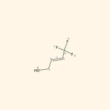 OC/C=C/C(F)(F)F